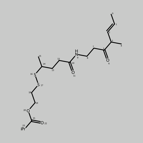 CC=CC(C)C(=O)CCNC(=O)CCC(C)SSCCOC(=O)C(C)C